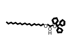 CCCCCCCCCCCCCCCCCOCC(O)COC(c1ccccc1)(c1ccccc1)c1ccccc1